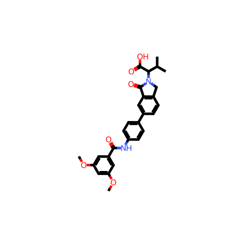 COc1cc(OC)cc(C(=O)Nc2ccc(-c3ccc4c(c3)C(=O)N(C(C(=O)O)C(C)C)C4)cc2)c1